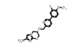 O=[N+]([O-])c1cn2c(n1)OC[C@@H](OCc1ccc(-c3ccc(OC(F)(F)F)c(F)c3)cn1)C2